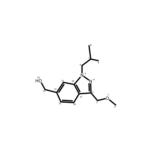 COCc1nn(CC(C)C)c2cc(CO)ccc12